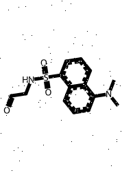 CN(C)c1cccc2c(S(=O)(=O)NC[C]=O)cccc12